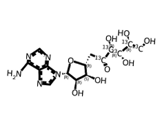 Nc1ncnc2c1ncn2[C@@H]1O[C@H](C[13C](=O)[13C@H](O)[13C@H](O)[13C@H](O)[13CH2]O)[C@@H](O)[C@H]1O